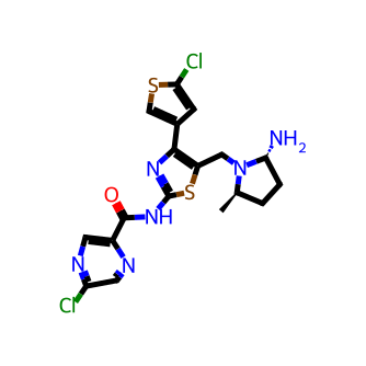 C[C@@H]1CC[C@@H](N)N1Cc1sc(NC(=O)c2cnc(Cl)cn2)nc1-c1csc(Cl)c1